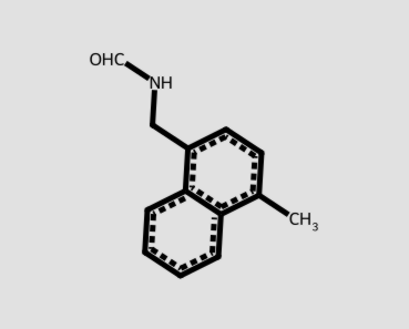 Cc1ccc(CNC=O)c2ccccc12